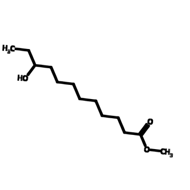 CCC(O)CCCCCCCCC(=O)OC